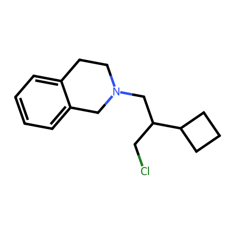 ClCC(CN1CCc2ccccc2C1)C1CCC1